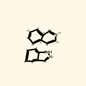 c1ccc2[nH]ncc2c1.c1ccc2cnccc2c1